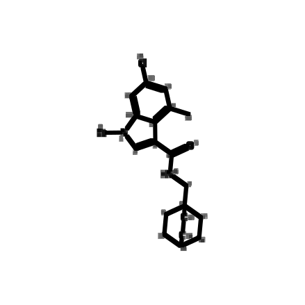 CCn1cc(C(=O)NCC23CCC(CC2)CC3)c2c(C)cc(Cl)cc21